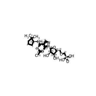 CC1(C)CCC[C@@H]1Nc1nc(Cl)nc2c1cnn2[C@@H]1O[C@H](COCP(=O)(O)O)[C@@H](O)[C@H]1O